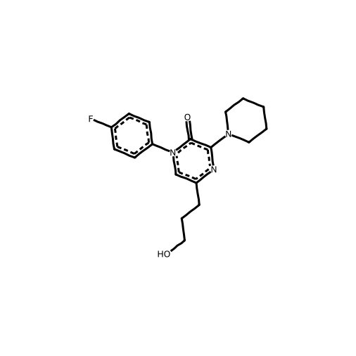 O=c1c(N2CCCCC2)nc(CCCO)cn1-c1ccc(F)cc1